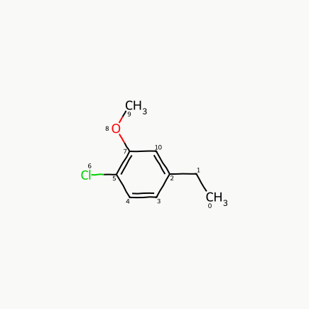 CCc1ccc(Cl)c(OC)c1